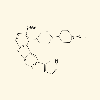 COc1cnc2[nH]c3cnc(-c4cccnc4)cc3c2c1N1CCN(C2CCN(C)CC2)CC1